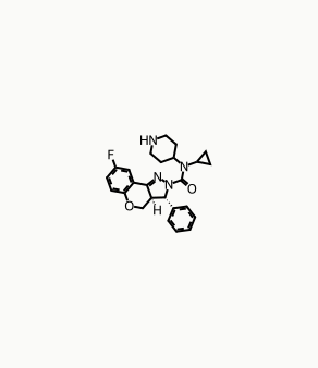 O=C(N(C1CCNCC1)C1CC1)N1N=C2c3cc(F)ccc3OC[C@@H]2[C@H]1c1ccccc1